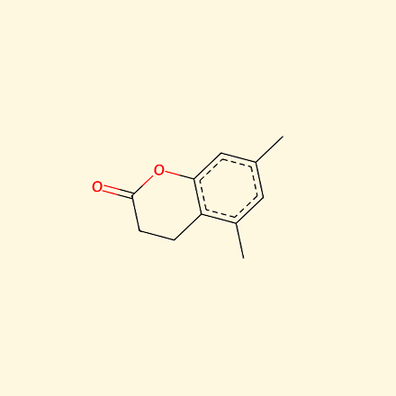 Cc1cc(C)c2c(c1)OC(=O)CC2